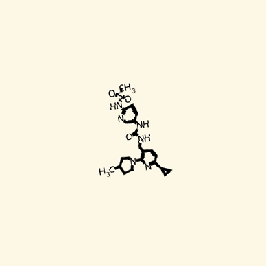 CC1CCN(c2nc(C3CC3)ccc2CNC(=O)Nc2ccc(NS(C)(=O)=O)nc2)CC1